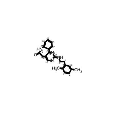 Cc1ccc(C)c(CCNc2ncc3c(n2)-c2ccccc2NC(=O)C3)c1